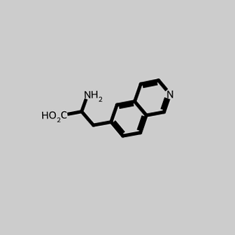 NC(Cc1ccc2cnccc2c1)C(=O)O